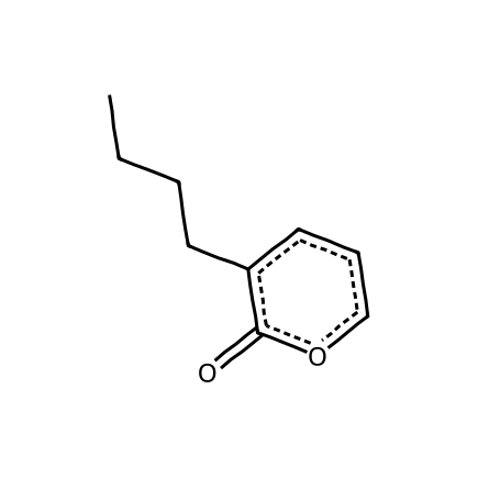 CCCCc1cccoc1=O